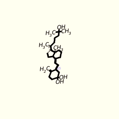 C=C1CCC(O)(O)C/C1=C/C=C1CCC[C@@]2(C)C1CC[C@@H]2[C@H](C)CCCC(C)(C)O